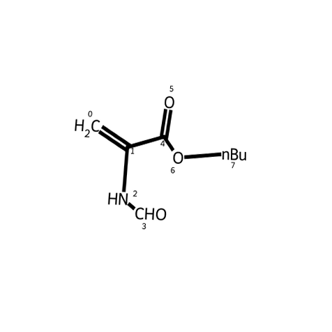 C=C(NC=O)C(=O)OCCCC